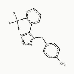 Cc1ccc(Cn2nnnc2-c2ccccc2C(F)(F)F)cc1